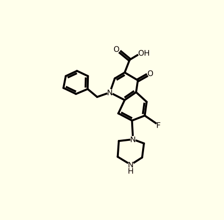 O=C(O)c1cn(Cc2ccccc2)c2cc(N3CCNCC3)c(F)cc2c1=O